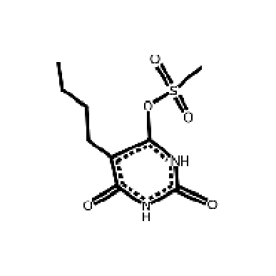 CCCCc1c(OS(C)(=O)=O)[nH]c(=O)[nH]c1=O